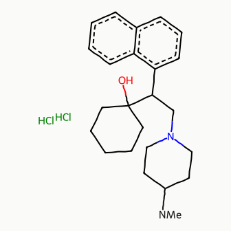 CNC1CCN(CC(c2cccc3ccccc23)C2(O)CCCCC2)CC1.Cl.Cl